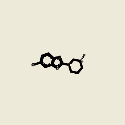 F[C@@H]1CCCN(c2nc3ccc(Cl)cc3o2)C1